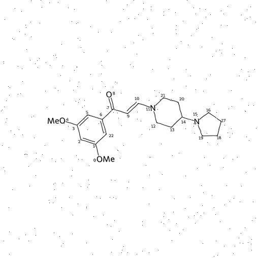 COc1cc(OC)cc(C(=O)C=CN2CCC(N3CCCC3)CC2)c1